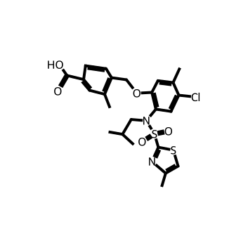 Cc1csc(S(=O)(=O)N(CC(C)C)c2cc(Cl)c(C)cc2OCc2ccc(C(=O)O)cc2C)n1